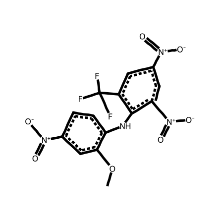 COc1cc([N+](=O)[O-])ccc1Nc1c([N+](=O)[O-])cc([N+](=O)[O-])cc1C(F)(F)F